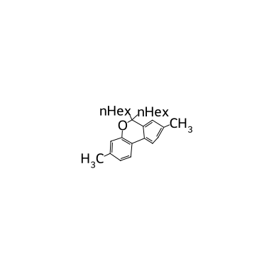 CCCCCCC1(CCCCCC)Oc2cc(C)ccc2-c2ccc(C)cc21